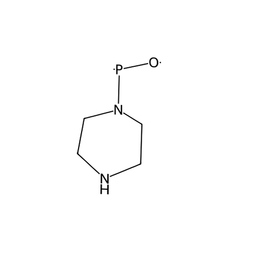 [O][P]N1CCNCC1